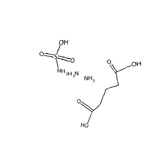 N.N.NS(=O)(=O)O.O=C(O)CCCC(=O)O